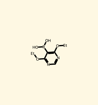 CCOc1ncnc(OCC)c1B(O)O